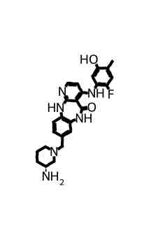 Cc1cc(F)c(Nc2ccnc3c2C(=O)Nc2cc(CN4CCC[C@@H](N)C4)ccc2N3)cc1O